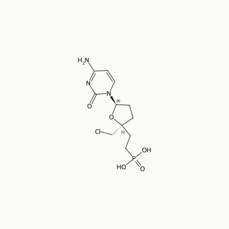 Nc1ccn([C@H]2CC[C@@](CCl)(CCP(=O)(O)O)O2)c(=O)n1